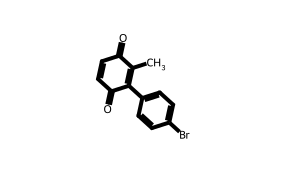 CC1=C(c2ccc(Br)cc2)C(=O)C=CC1=O